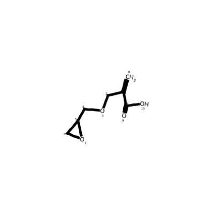 C=C(COCC1CO1)C(=O)O